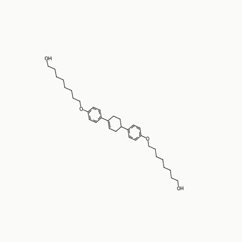 OCCCCCCCCOc1ccc(C2=CCC(c3ccc(OCCCCCCCCO)cc3)CC2)cc1